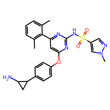 Cc1cccc(C)c1-c1cc(Oc2ccc(C3CC3N)cc2)nc(NS(=O)(=O)c2cnn(C)c2)n1